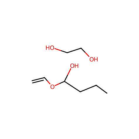 C=COC(O)CCC.OCCO